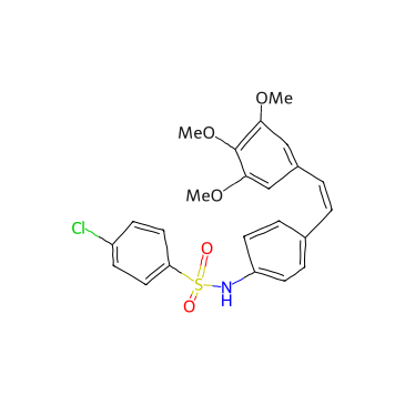 COc1cc(/C=C\c2ccc(NS(=O)(=O)c3ccc(Cl)cc3)cc2)cc(OC)c1OC